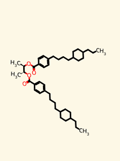 CCCC1CCC(CCCCc2ccc(C(=O)O[C@H](C)[C@@H](C)OC(=O)c3ccc(CCCCC4CCC(CCC)CC4)cc3)cc2)CC1